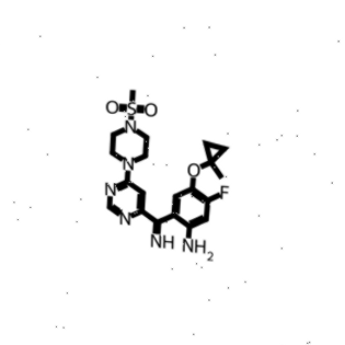 CC1(Oc2cc(C(=N)c3cc(N4CCN(S(C)(=O)=O)CC4)ncn3)c(N)cc2F)CC1